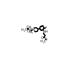 COC(=O)CCNc1cc(C2CCN(C(=O)OC(C)(C)C)CC2)ccc1F